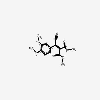 COC(=O)C(C(=O)OC)=C(C#N)c1ccc(OC)c(OC)c1